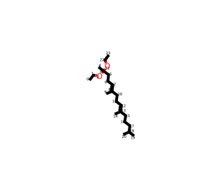 CCOC(C)(CC/C=C(\C)CC/C=C(\C)CCCC(C)C)OCC